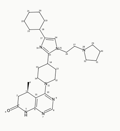 C[C@@H]1CC(=O)Nc2ncnc(N3CCC(c4nc(C5CCCCC5)cn4CCN4CCCC4)CC3)c21